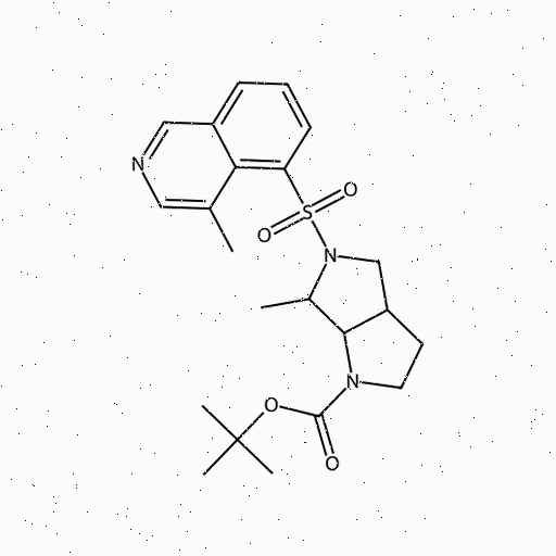 Cc1cncc2cccc(S(=O)(=O)N3CC4CCN(C(=O)OC(C)(C)C)C4C3C)c12